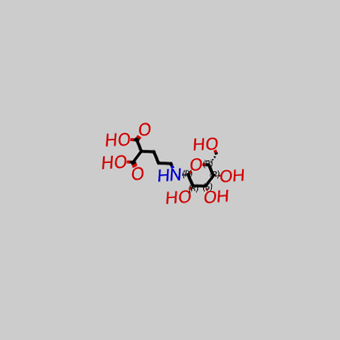 O=C(O)C(CCCN[C@@H]1O[C@H](CO)[C@H](O)[C@H](O)[C@H]1O)C(=O)O